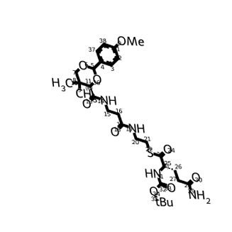 COc1ccc(C2OCC(C)(C)[C@H](C(=O)NCCC(=O)NCCSC(=O)[C@H](CCC(N)=O)NC(=O)OC(C)(C)C)O2)cc1